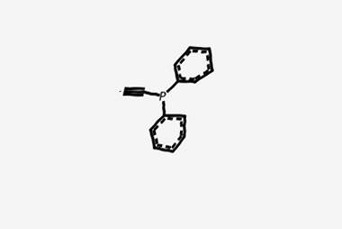 [C]#CP(c1ccccc1)c1ccccc1